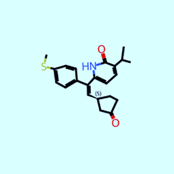 CSc1ccc(C(=C[C@H]2CCC(=O)C2)c2ccc(C(C)C)c(=O)[nH]2)cc1